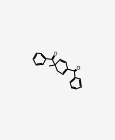 CC1(C(=O)c2ccccc2)C=CC(C(=O)c2ccccc2)=CC1